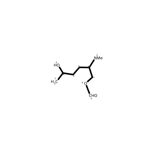 CNC(CCC(C)O)COC=O